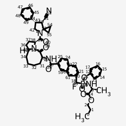 CCCOC(=O)[C@H](C)NP(=O)(Oc1ccccc1)[C@H](F)c1ccc2ccc(C(=O)N[C@H]3CCCC[C@H]4CC[C@@H](C(=O)N5C[C@H](c6ccccc6)[C@@H](C#N)C56CC6)N4C3=O)cc2c1